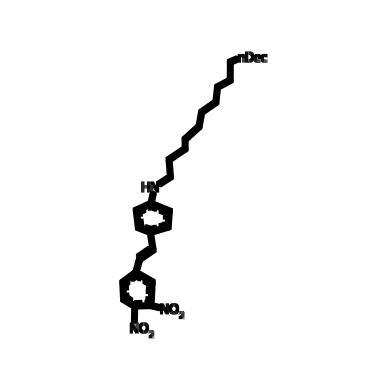 CCCCCCCCCCCCCCCCCCCCNc1ccc(C=Cc2ccc([N+](=O)[O-])c([N+](=O)[O-])c2)cc1